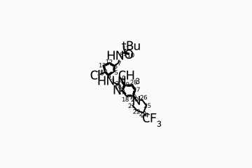 Cn1c(Nc2cc(CNC(=O)C(C)(C)C)ccc2Cl)nc2cc(N3CCC(C(F)(F)F)CC3)ccc21